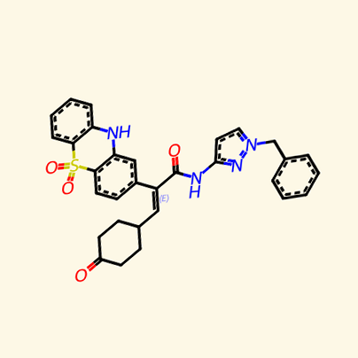 O=C1CCC(/C=C(/C(=O)Nc2ccn(Cc3ccccc3)n2)c2ccc3c(c2)Nc2ccccc2S3(=O)=O)CC1